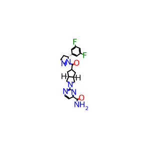 NC(=O)c1ccnc(N2C[C@H]3CC(C(=O)N4N=CC[C@@H]4c4cc(F)cc(F)c4)C[C@@H]3C2)n1